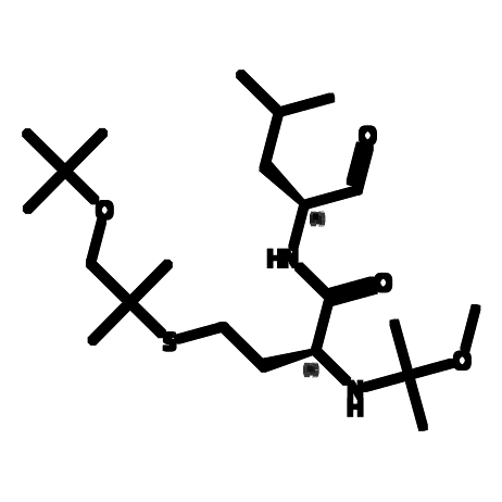 COC(C)(C)N[C@@H](CCSC(C)(C)COC(C)(C)C)C(=O)N[C@H](C=O)CC(C)C